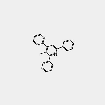 Cc1c(-c2ccccc2)cc(-c2ccccc2)nc1-c1ccccc1